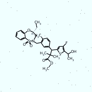 CC[C@@H]1CN(Cc2cc(C(c3cc(F)c(C(C)O)s3)C(C)(C)C(=O)OC)ccc2C)S(=O)(=O)c2ccccc2O1